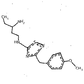 CCC(N)CCNc1nc(Cc2ccc(OC)cc2)ns1